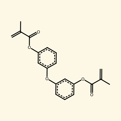 C=C(C)C(=O)Oc1cccc(Oc2cccc(OC(=O)C(=C)C)c2)c1